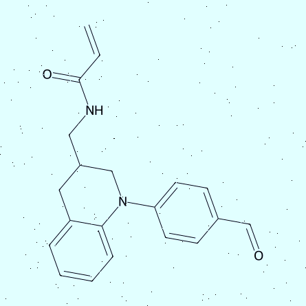 C=CC(=O)NCC1Cc2ccccc2N(c2ccc(C=O)cc2)C1